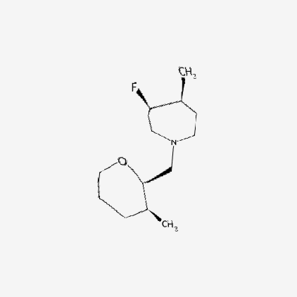 C[C@H]1CCN(C[C@@H]2OCCC[C@@H]2C)C[C@H]1F